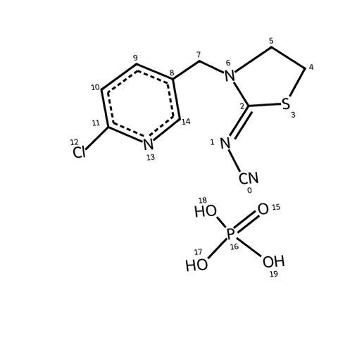 N#CN=C1SCCN1Cc1ccc(Cl)nc1.O=P(O)(O)O